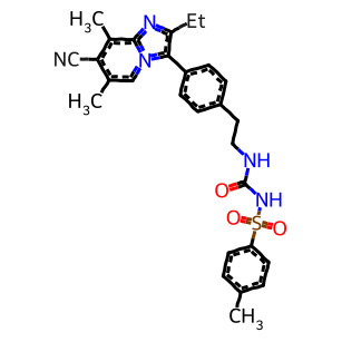 CCc1nc2c(C)c(C#N)c(C)cn2c1-c1ccc(CCNC(=O)NS(=O)(=O)c2ccc(C)cc2)cc1